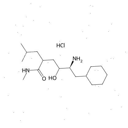 CNC(=O)C(CC(C)C)CC(O)[C@@H](N)CC1CCCCC1.Cl